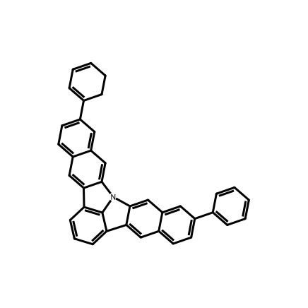 C1=CCCC(c2ccc3cc4c5cccc6c7cc8ccc(-c9ccccc9)cc8cc7n(c4cc3c2)c56)=C1